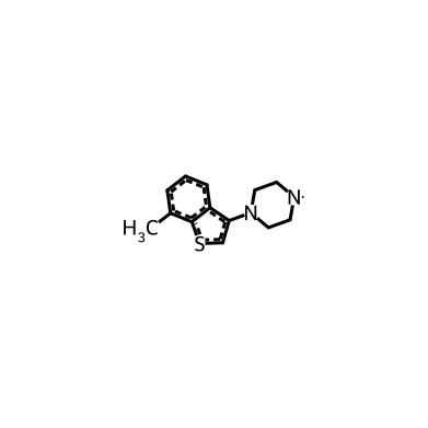 Cc1cccc2c(N3CC[N]CC3)csc12